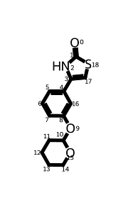 O=c1[nH]c(-c2cccc(OC3CCCCO3)c2)cs1